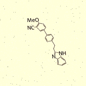 COc1ccc(-c2ccc(CCc3nc4ccccc4[nH]3)cc2)cc1C#N